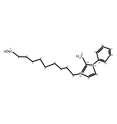 CCCCCCCCCCCCCCCCCCC[n+]1ccn(-c2ccccc2)c1C